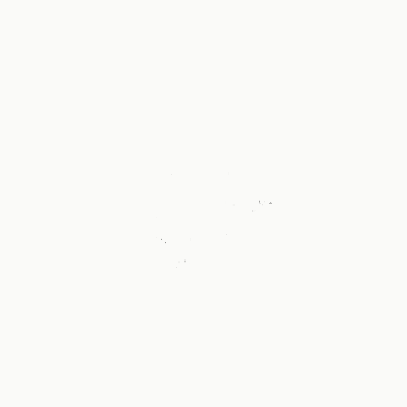 C=CC(=O)OC[N+](CC)(CC)CCCC.COS(=O)(=O)[O-]